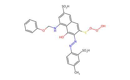 Cc1ccc(N=Nc2c(SOOO)cc3cc(S(=O)(=O)O)cc(NCOc4ccccc4)c3c2O)c(S(=O)(=O)O)c1